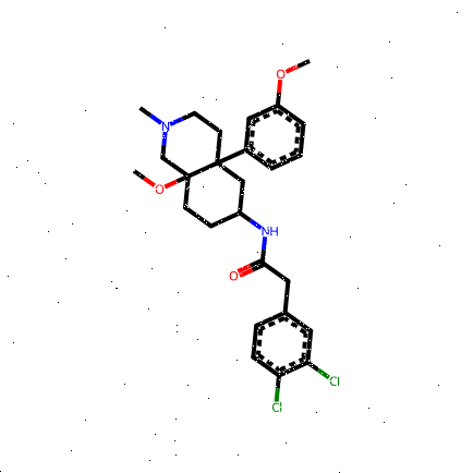 COc1cccc(C23CCN(C)CC2(OC)CCC(NC(=O)Cc2ccc(Cl)c(Cl)c2)C3)c1